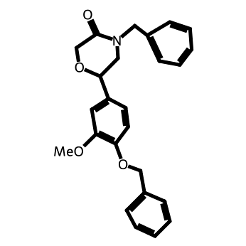 COc1cc(C2CN(Cc3ccccc3)C(=O)CO2)ccc1OCc1ccccc1